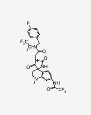 C[C@H](N(Cc1ccc(F)cc1)C(=O)CN1C(=O)NC2(CCN(C)c3cc(NC(=O)C(F)(F)F)ccc32)C1=O)C(F)(F)F